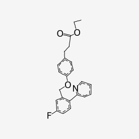 CCOC(=O)CCc1ccc(OCc2cc(F)ccc2-c2ccccn2)cc1